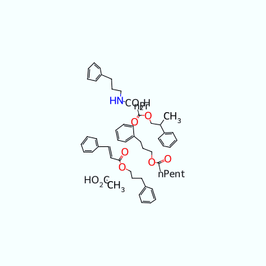 CC(=O)O.CCCC(=O)OCC(C)c1ccccc1.CCCCCC(=O)OCCCc1ccccc1.O=C(/C=C/c1ccccc1)OCCCc1ccccc1.O=C(O)NCCCc1ccccc1